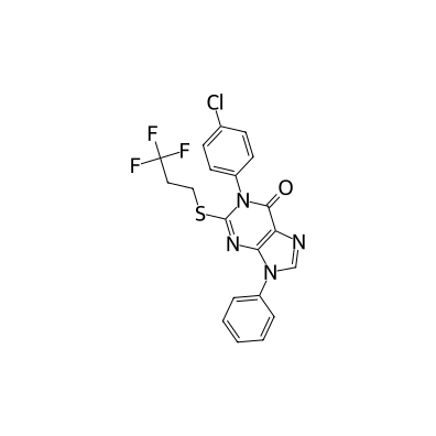 O=c1c2ncn(-c3ccccc3)c2nc(SCCC(F)(F)F)n1-c1ccc(Cl)cc1